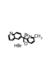 Br.Cc1cccc(C(Br)(C=O)c2ccc3ncccc3c2)n1